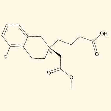 COC(=O)C[C@@]1(CCCC(=O)O)CCc2c(F)cccc2C1